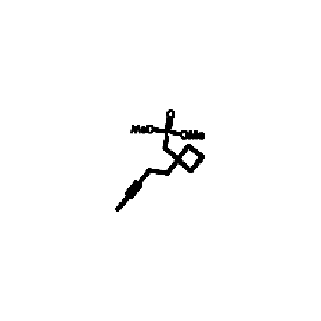 CC#CCCC1(CP(=O)(OC)OC)CCC1